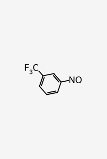 O=Nc1cccc(C(F)(F)F)c1